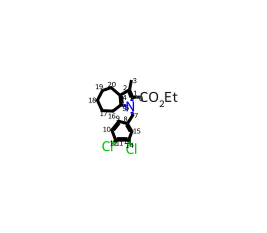 CCOC(=O)c1c(C)c2c(n1Cc1ccc(Cl)c(Cl)c1)CCCCC2